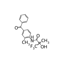 Cc1cc(C(=O)c2ccccc2)ccc1NC(=O)[C@](C)(O)C(F)(F)F